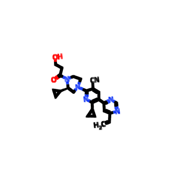 C=Cc1cc(-c2cc(C#N)c(N3CCN(C(=O)CCO)[C@H](C4CC4)C3)nc2C2CC2)ncn1